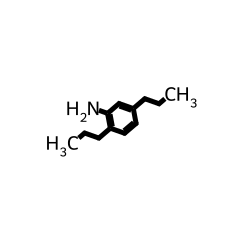 CCCc1ccc(CCC)c(N)c1